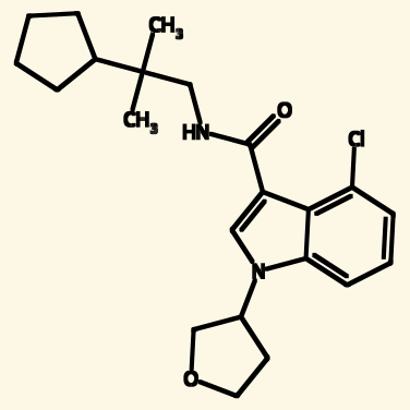 CC(C)(CNC(=O)c1cn(C2CCOC2)c2cccc(Cl)c12)C1CCCC1